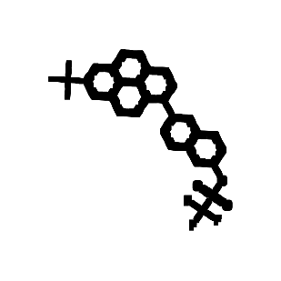 CC(C)(C)c1cc2ccc3ccc(-c4ccc5cc(OS(=O)(=O)C(F)(F)F)ccc5c4)c4ccc(c1)c2c34